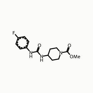 COC(=O)N1CCC(NC(=O)Nc2ccc(F)cc2)CC1